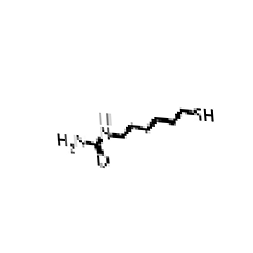 NC(=O)NCCCCCCS